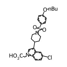 CCCCOc1ccc(S(=O)(=O)N2CCC(c3cn(CC(=O)O)c4ccc(Cl)cc34)CC2)cc1